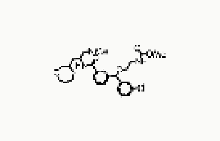 CNCC(CC1CCCCOC1)NC(=O)c1cccc(C(OCCNC(=O)OC)c2cccc(Cl)c2)c1